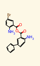 Nc1ccc(Br)cc1C(=O)OC(=O)c1cc(-c2ccccc2)ccc1N